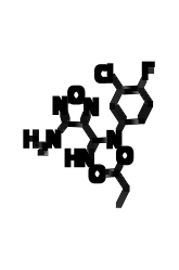 CCC(=O)ON(C(=N)c1nonc1N)c1ccc(F)c(Cl)c1